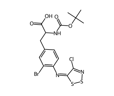 CC(C)(C)OC(=O)NC(Cc1ccc(N=c2ssnc2Cl)c(Br)c1)C(=O)O